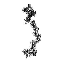 CCN(C(=O)c1cc(F)ccc1Oc1nncnc1N1CCC2(C1)CN([C@H](CCCN(C)CC(COC(=O)/C=C/C(=O)OCC(CN(C)CCC[C@H](C(C)C)N1CC3(CCN(c4ncnnc4Oc4ccc(F)cc4C(=O)N(CC)C(C)C)C3)C1)OC)OC)C(C)C)C2)C(C)C